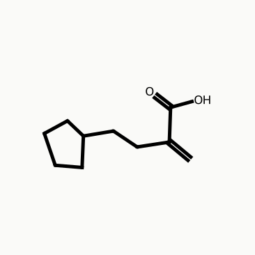 C=C(CCC1CCCC1)C(=O)O